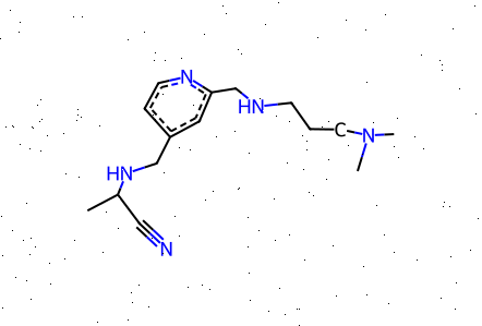 CC(C#N)NCc1ccnc(CNCCCN(C)C)c1